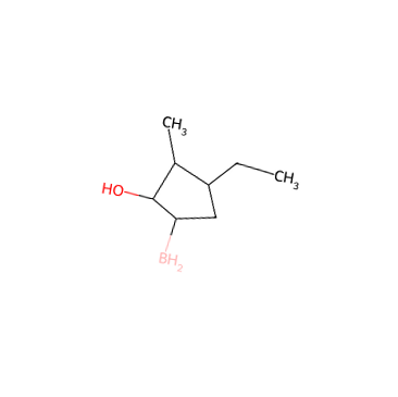 BC1CC(CC)C(C)C1O